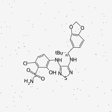 CC(C)(C)[C@@H](Nc1nsnc1Nc1ccc(Cl)c(S(N)(=O)=O)c1O)c1ccc2c(c1)OCO2